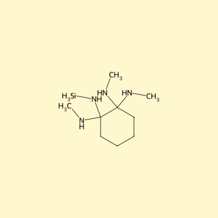 CNC1(NC)CCCCC1(NC)N[SiH3]